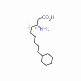 C[C@@H](CCCCCC1CCCCC1)[C@H](N)CC(=O)O